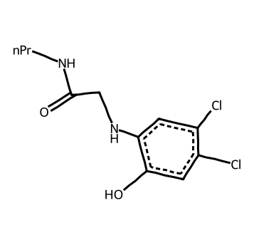 CCCNC(=O)CNc1cc(Cl)c(Cl)cc1O